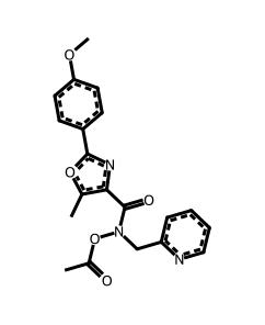 COc1ccc(-c2nc(C(=O)N(Cc3ccccn3)OC(C)=O)c(C)o2)cc1